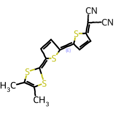 CC1=C(C)SC(=c2cc/c(=c3/ccc(=C(C#N)C#N)s3)s2)S1